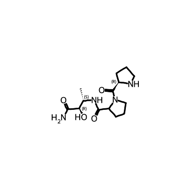 C[C@H](NC(=O)C1CCCN1C(=O)[C@H]1CCCN1)[C@@H](O)C(N)=O